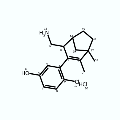 CC1=C(c2cc(O)ccc2Cl)C(CN)C2CCC1(C)C2.Cl